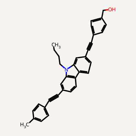 CCCCn1c2cc(C#Cc3ccc(C)cc3)ccc2c2ccc(C#Cc3ccc(CO)cc3)cc21